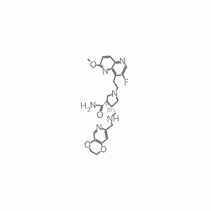 COc1ccc2ncc(F)c(CCN3C[C@H](CNCc4cc5c(cn4)OCCO5)[C@H](C(N)=O)C3)c2n1